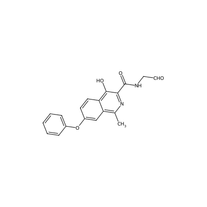 Cc1nc(C(=O)NCC=O)c(O)c2ccc(Oc3ccccc3)cc12